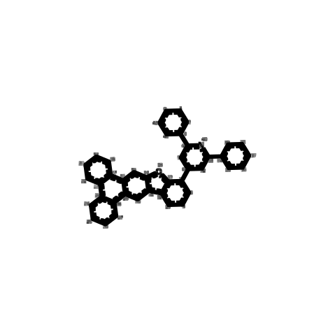 c1ccc(-c2cc(-c3cccc4c3oc3cc5c6ccccc6c6ccccc6c5cc34)cc(-c3ccccc3)n2)cc1